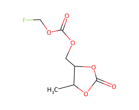 CC1OC(=O)OC1COC(=O)OCF